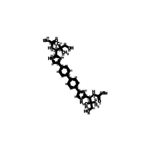 CC(C)(C)C(=O)N[C@H](c1nc(-c2ccc(-c3ccc(-c4c[nH]c([C@@H](NC(=O)C(C)(C)C)C(C)(C)CO)n4)cc3)cc2)c[nH]1)C(C)(C)CO